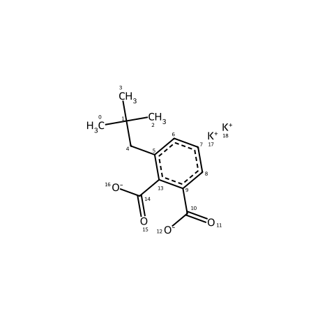 CC(C)(C)Cc1cccc(C(=O)[O-])c1C(=O)[O-].[K+].[K+]